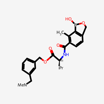 CNCc1cccc(COC(=O)[C@@H](NC(=O)c2ccc3c(c2C)B(O)OC3)C(C)C)c1